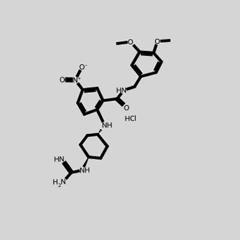 COc1ccc(CNC(=O)c2cc([N+](=O)[O-])ccc2N[C@H]2CC[C@H](NC(=N)N)CC2)cc1OC.Cl